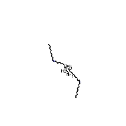 CCCCCCCC/C=C\CCCCCCCC(=O)P(=O)(C(=O)CCCCCCC/C=C\CCCCCCCC)C(O)CN